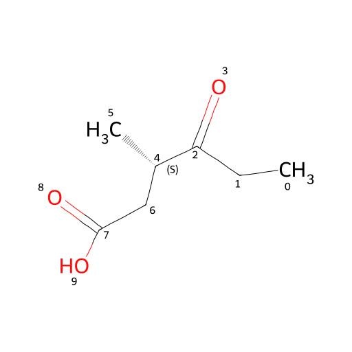 CCC(=O)[C@@H](C)CC(=O)O